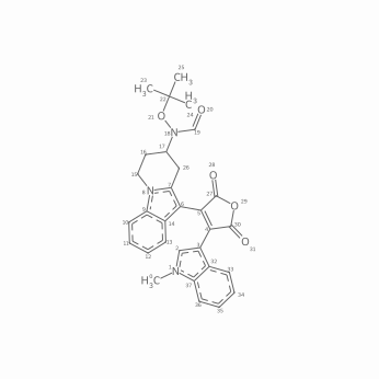 Cn1cc(C2=C(c3c4n(c5ccccc35)CCC(N(C=O)OC(C)(C)C)C4)C(=O)OC2=O)c2ccccc21